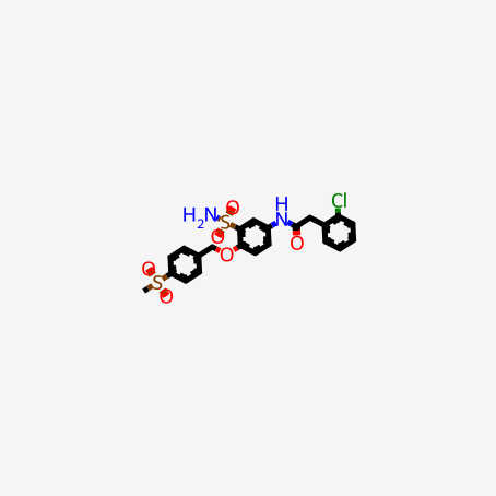 CS(=O)(=O)c1ccc(COc2ccc(NC(=O)Cc3ccccc3Cl)cc2S(N)(=O)=O)cc1